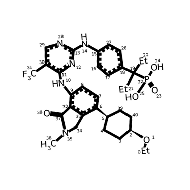 CCO[C@H]1CC[C@@H](c2ccc(Nc3nc(Nc4ccc(C(CC)(CC)P(=O)(O)O)cc4)ncc3C(F)(F)F)c3c2CN(C)C3=O)CC1